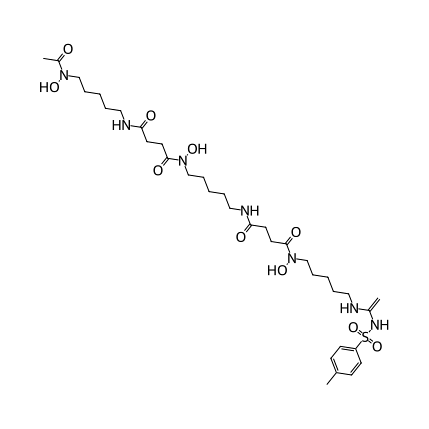 C=C(NCCCCCN(O)C(=O)CCC(=O)NCCCCCN(O)C(=O)CCC(=O)NCCCCCN(O)C(C)=O)NS(=O)(=O)c1ccc(C)cc1